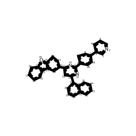 c1cncc(-c2ccc(-c3nc(-c4ccc5oc6ccccc6c5c4)cc(-c4cccc5ccccc45)n3)cc2)c1